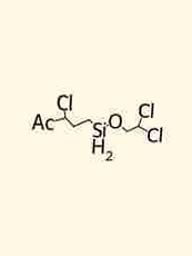 CC(=O)C(Cl)CC[SiH2]OCC(Cl)Cl